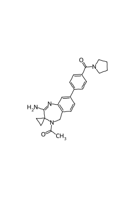 CC(=O)N1Cc2ccc(-c3ccc(C(=O)N4CCCC4)cc3)cc2N=C(N)C12CC2